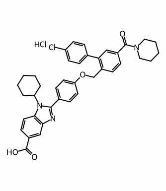 Cl.O=C(O)c1ccc2c(c1)nc(-c1ccc(OCc3ccc(C(=O)N4CCCCC4)cc3-c3ccc(Cl)cc3)cc1)n2C1CCCCC1